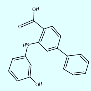 O=C(O)c1ccc(-c2ccccc2)cc1Nc1cccc(O)c1